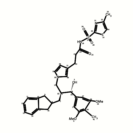 COc1cc([C@@H](O)[C@@H](CC2Cc3ccccc3C2)Cn2ccc(CCC(=O)NS(=O)(=O)c3nc(C)cs3)c2)cc(OC)c1C